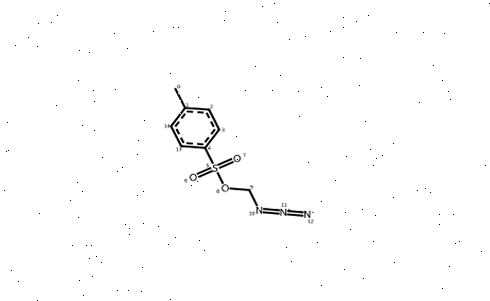 Cc1ccc(S(=O)(=O)OCN=[N+]=[N-])cc1